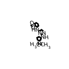 CN(C)c1cccc(Nc2nccc(Nc3cccc4c3OCO4)n2)c1